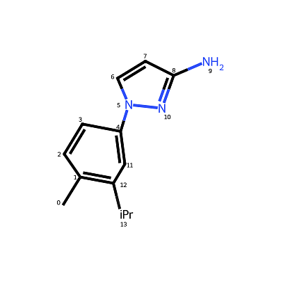 Cc1ccc(-n2ccc(N)n2)cc1C(C)C